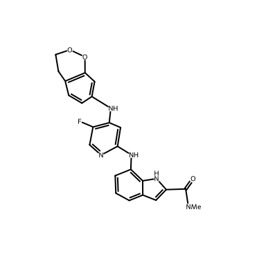 CNC(=O)c1cc2cccc(Nc3cc(Nc4ccc5c(c4)OOCC5)c(F)cn3)c2[nH]1